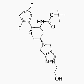 CC(C)(C)OC(=O)N[C@H]1C[C@@H](N2Cc3cn(CCO)nc3C2)CSC1c1cc(F)ccc1F